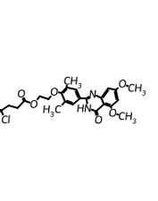 COc1cc(OC)c2c(=O)[nH]c(-c3cc(C)c(OCCOC(=O)CCC(=O)Cl)c(C)c3)nc2c1